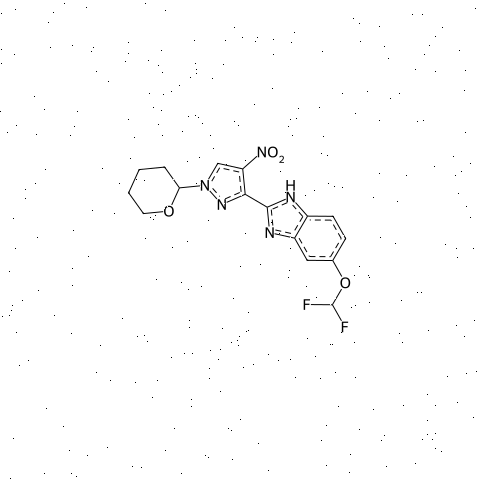 O=[N+]([O-])c1cn(C2CCCCO2)nc1-c1nc2cc(OC(F)F)ccc2[nH]1